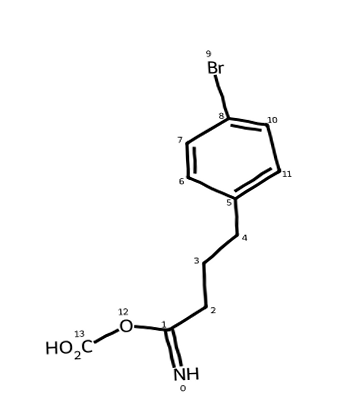 N=C(CCCc1ccc(Br)cc1)OC(=O)O